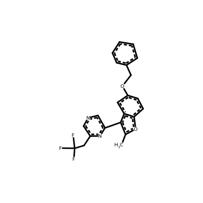 Cc1oc2ccc(OCc3ccccc3)cc2c1-c1cncc(CC(F)(F)F)n1